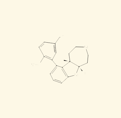 COc1ccc(C(C)C)cc1-c1cccc2c1[C@@H]1CCNCC[C@@H]1N2